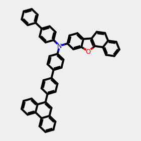 c1ccc(-c2ccc(N(c3ccc(-c4ccc(-c5cc6ccccc6c6ccccc56)cc4)cc3)c3ccc4c(c3)oc3c5ccccc5ccc43)cc2)cc1